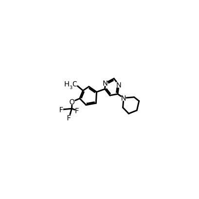 Cc1cc(-c2cc(N3CCCCC3)ncn2)ccc1OC(F)(F)F